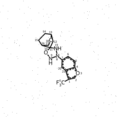 FC(F)(F)c1coc2ccc(N3NOC4(CC5CCC4CC5)N3)cc12